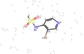 CS(=O)(=O)Nc1ccncc1Br